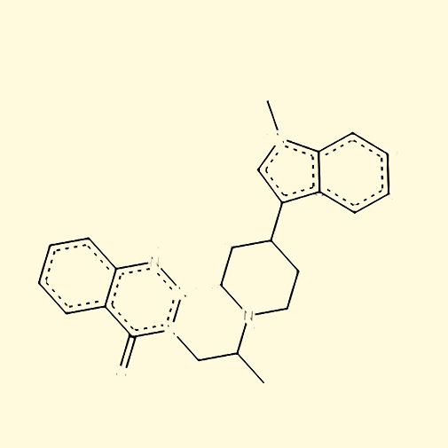 CC(Cn1nnc2ccccc2c1=O)N1CCC(c2cn(C)c3ccccc23)CC1